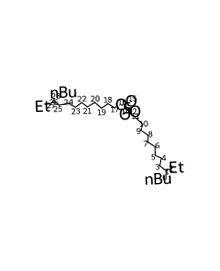 CCCCC(CC)CCCCCCCCCOS(=O)(=O)OCCCCCCCCCC(CC)CCCC